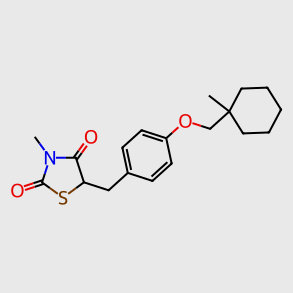 CN1C(=O)SC(Cc2ccc(OCC3(C)CCCCC3)cc2)C1=O